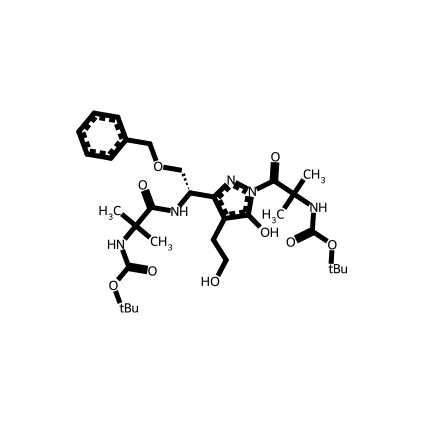 CC(C)(C)OC(=O)NC(C)(C)C(=O)N[C@H](COCc1ccccc1)c1nn(C(=O)C(C)(C)NC(=O)OC(C)(C)C)c(O)c1CCO